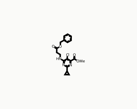 COC(=O)c1nc(C2CC2)nc(NCCC(=O)OCc2ccccc2)c1Cl